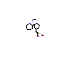 O=C1NC(=O)/C(=C/C2CCC3NCCNC3(C3CCCCCC3)C2)S1